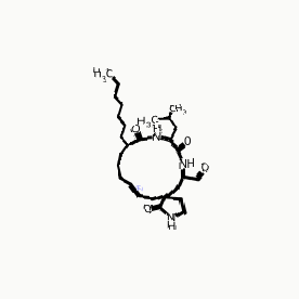 CCCCCCCC1CCC/C=C/CC2(CCNC2=O)CC(C=O)NC(=O)C(CC(C)C)NC1=O